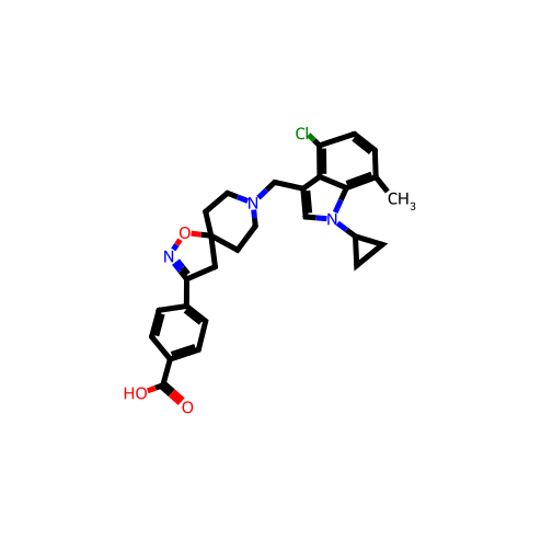 Cc1ccc(Cl)c2c(CN3CCC4(CC3)CC(c3ccc(C(=O)O)cc3)=NO4)cn(C3CC3)c12